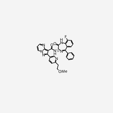 COCCc1ccc(-c2nn3cccnc3c2C(=O)N[C@H]2N=C(c3ccccc3)c3cccc(F)c3NC2=O)cn1